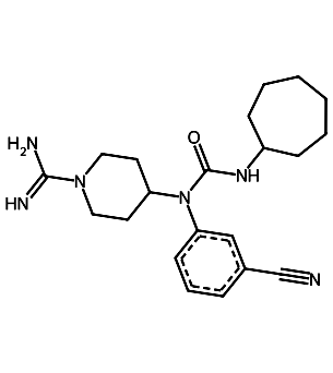 N#Cc1cccc(N(C(=O)NC2CCCCCC2)C2CCN(C(=N)N)CC2)c1